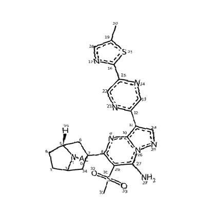 CC(=O)N1C2CC[C@@H]1CC(c1nc3c(-c4cnc(-c5ncc(C)s5)cn4)cnn3c(N)c1S(C)(=O)=O)C2